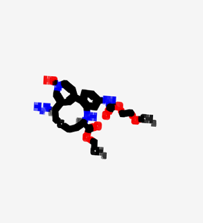 CCOC(=O)[C@H]1CCCC[C@H](N)C2=CN(O)C=CC(=C2)c2ccc(NC(=O)OCCOC)cc2N1